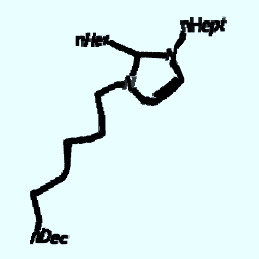 CCCCCCCCCCCCCCCN1C=CN(CCCCCCC)C1CCCCCC